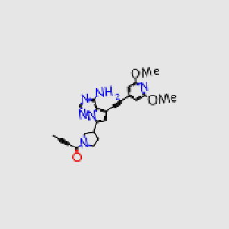 CC#CC(=O)N1CCC(c2cc(C#Cc3cc(OC)nc(OC)c3)c3c(N)ncnn23)C1